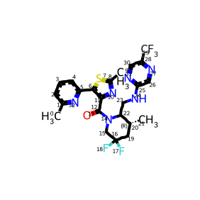 Cc1cccc(-c2sc(C)nc2C(=O)N2CC(F)(F)C[C@@H](C)C2CNc2cnc(C(F)(F)F)cn2)n1